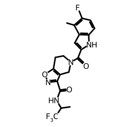 Cc1c(F)ccc2[nH]c(C(=O)N3CCc4onc(C(=O)NC(C)C(F)(F)F)c4C3)cc12